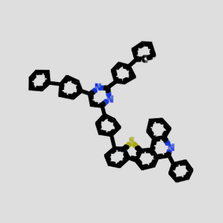 c1ccc(-c2ccc(-c3cc(-c4ccc(-c5cccc6c5sc5c6ccc6c(-c7ccccc7)nc7ccccc7c65)cc4)nc(-c4ccc(-c5ccccc5)cc4)n3)cc2)cc1